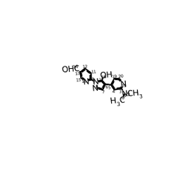 CN(C)c1cc(-c2cnn(-c3ccc(C=O)cn3)c2O)ccn1